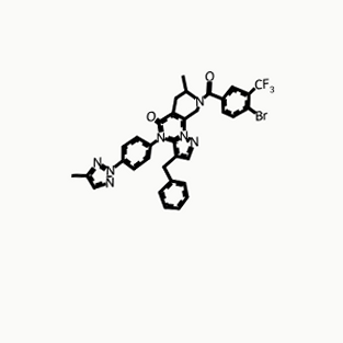 Cc1cnn(-c2ccc(-n3c(=O)c4c(n5ncc(Cc6ccccc6)c35)CN(C(=O)c3ccc(Br)c(C(F)(F)F)c3)C(C)C4)cc2)n1